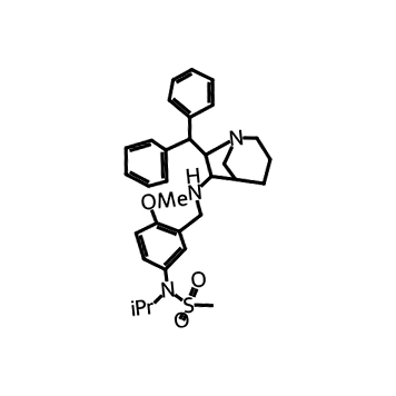 COc1ccc(N(C(C)C)S(C)(=O)=O)cc1CNC1C2CCCN(C2)C1C(c1ccccc1)c1ccccc1